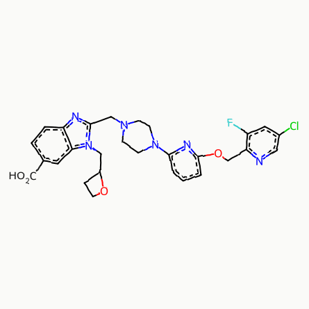 O=C(O)c1ccc2nc(CN3CCN(c4cccc(OCc5ncc(Cl)cc5F)n4)CC3)n(CC3CCO3)c2c1